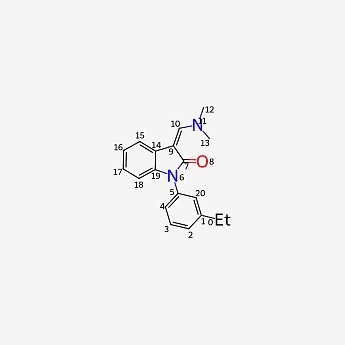 CCc1cccc(N2C(=O)C(=CN(C)C)c3ccccc32)c1